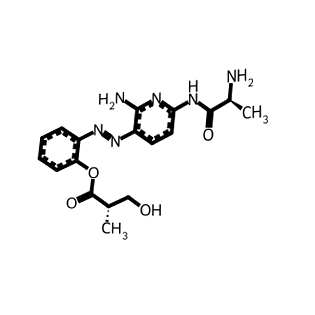 C[C@H](N)C(=O)Nc1ccc(/N=N/c2ccccc2OC(=O)[C@@H](C)CO)c(N)n1